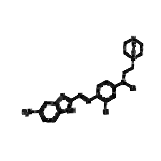 CCN(CC[N+]12CCN(CC1)CC2)c1ccc(/N=N/c2nc3cc([N+](=O)[O-])ccc3[nH]2)c(Cl)c1